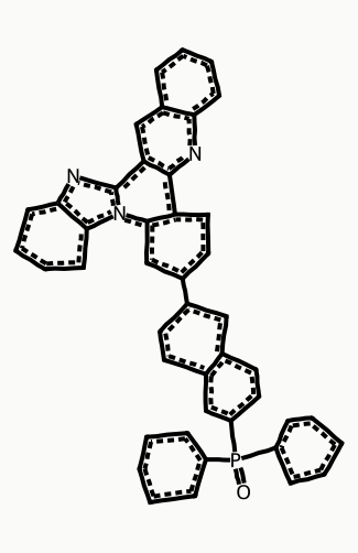 O=P(c1ccccc1)(c1ccccc1)c1ccc2cc(-c3ccc4c5nc6ccccc6cc5c5nc6ccccc6n5c4c3)ccc2c1